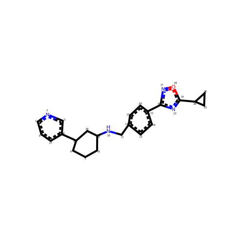 c1cncc(C2CCCC(NCc3ccc(-c4noc(C5CC5)n4)cc3)C2)c1